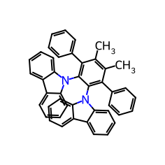 Cc1c(C)c(-c2ccccc2)c(-n2c3ccccc3c3ccccc32)c(-n2c3ccccc3c3ccccc32)c1-c1ccccc1